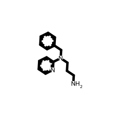 NCCCN(Cc1ccccc1)c1ccccn1